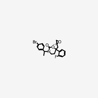 CC(c1ccc(Br)cc1)N1CCC(C[C@@]2(C)CO2)(c2ccccc2F)OC1=O